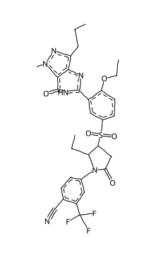 CCCc1nn(C)c2c(=O)[nH]c(-c3cc(S(=O)(=O)C4CC(=O)N(c5ccc(C#N)c(C(F)(F)F)c5)C4CC)ccc3OCC)nc12